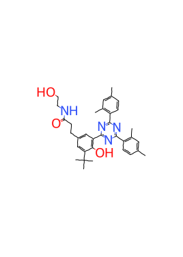 Cc1ccc(-c2nc(-c3ccc(C)cc3C)nc(-c3cc(CCC(=O)NCCO)cc(C(C)(C)C)c3O)n2)c(C)c1